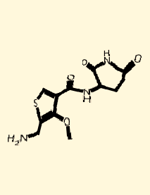 COc1c(C(=O)NC2CCC(=O)NC2=O)csc1CN